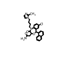 Cc1nccn1CCCCN1C(=O)C(CC(N)=O)OC(c2cccc3ccccc23)c2cc(Cl)ccc21